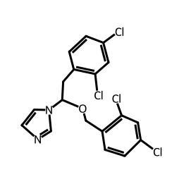 Clc1ccc(COC(Cc2ccc(Cl)cc2Cl)n2ccnc2)c(Cl)c1